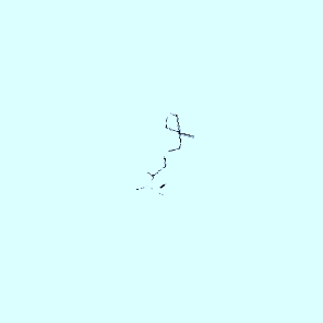 CN(C(O)COCC1(C)COC1)S(=O)(=O)C(F)(F)F